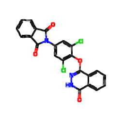 O=C1c2ccccc2C(=O)N1c1cc(Cl)c(Oc2n[nH]c(=O)c3ccccc23)c(Cl)c1